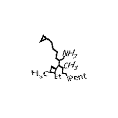 CCCC(C)CCC(C)C(C(CN)CCCCC1CC1)C1CC(C)C1CC